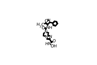 Cc1onc(-c2ccccc2)c1NC(=O)N1CCn2cc(C(=O)NO)nc2C1